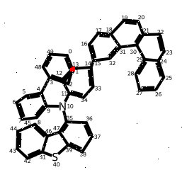 c1ccc(-c2ccccc2N(c2ccc(-c3ccc4ccc5ccc6ccccc6c5c4c3)cc2)c2cccc3sc4ccccc4c23)cc1